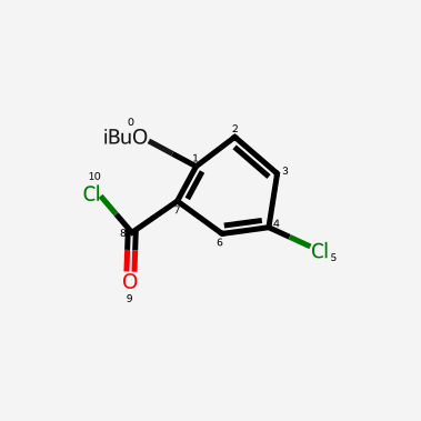 CC(C)COc1ccc(Cl)cc1C(=O)Cl